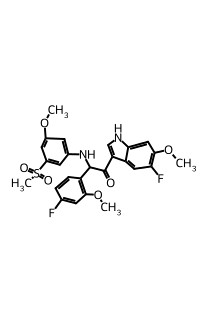 COc1cc(NC(C(=O)c2c[nH]c3cc(OC)c(F)cc23)c2ccc(F)cc2OC)cc(S(C)(=O)=O)c1